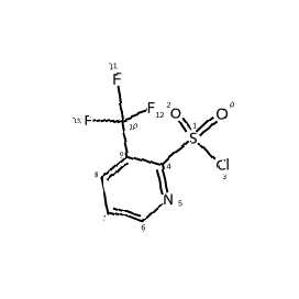 O=S(=O)(Cl)c1ncccc1C(F)(F)F